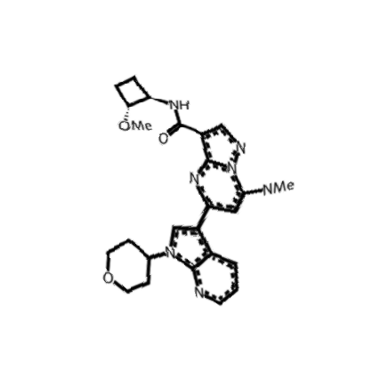 CNc1cc(-c2cn(C3CCOCC3)c3ncccc23)nc2c(C(=O)N[C@@H]3CC[C@H]3OC)cnn12